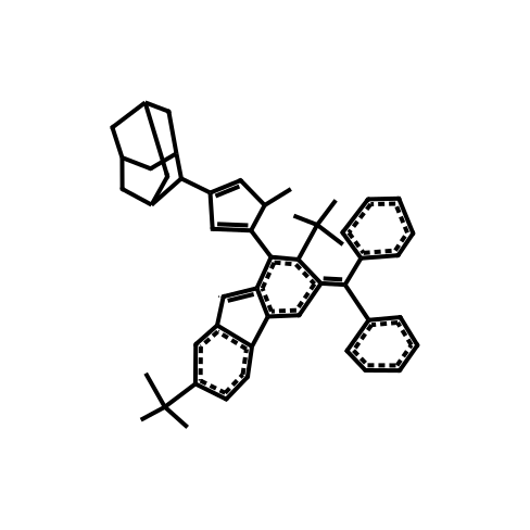 CC1C=C(C2C3CC4CC(C3)CC2C4)C=C1c1c(C(C)(C)C)c(=C(c2ccccc2)c2ccccc2)cc2c1=[C]c1cc(C(C)(C)C)ccc1-2